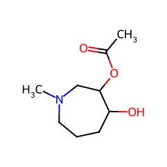 CC(=O)OC1CN(C)CCCC1O